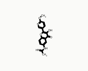 COc1ccc(-c2oc3ccc(NC(C)=N)cc3c(=O)c2O)cn1